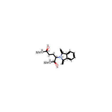 C=c1c2ccccc2c(=C)n1C(CCC(=O)OC)C(=O)OC